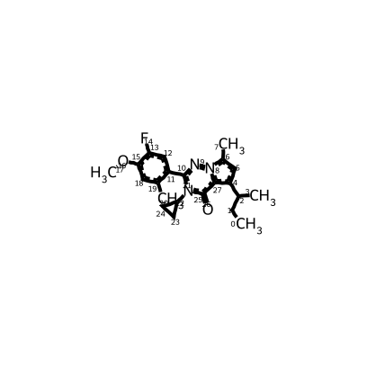 CCC(C)c1cc(C)n2nc(-c3cc(F)c(OC)cc3C)n(C3CC3)c(=O)c12